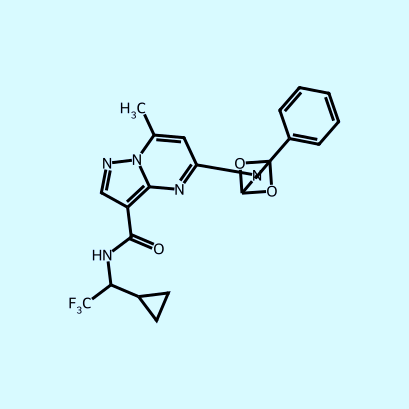 Cc1cc(N2CC3(c4ccccc4)OC2O3)nc2c(C(=O)NC(C3CC3)C(F)(F)F)cnn12